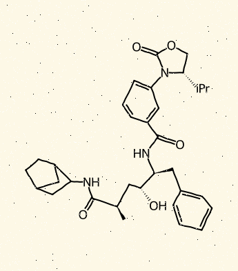 CC(C)[C@H]1COC(=O)N1c1cccc(C(=O)N[C@@H](Cc2ccccc2)[C@H](O)C[C@@H](C)C(=O)NC2CC3CCC2C3)c1